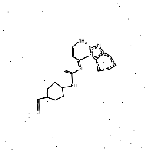 C=C(/N=C(\C=C/N)n1nnc2ccccc21)NC1CCC(C=O)CC1